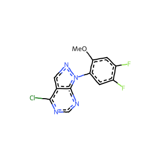 COc1cc(F)c(F)cc1-n1ncc2c(Cl)ncnc21